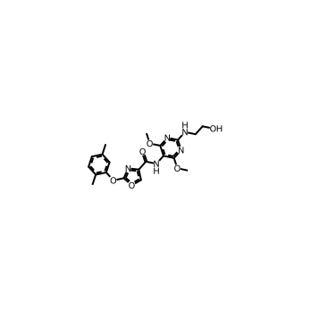 COc1nc(NCCO)nc(OC)c1NC(=O)c1coc(Oc2cc(C)ccc2C)n1